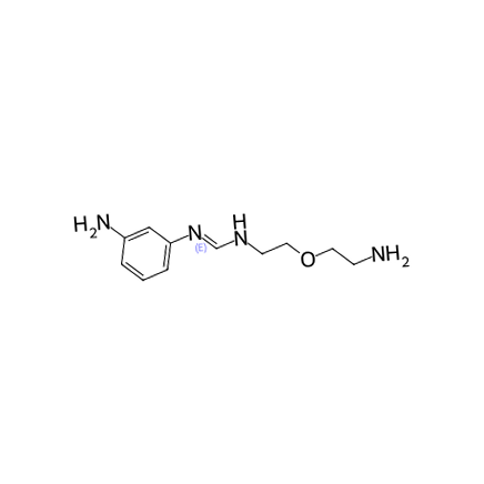 NCCOCCN/C=N/c1cccc(N)c1